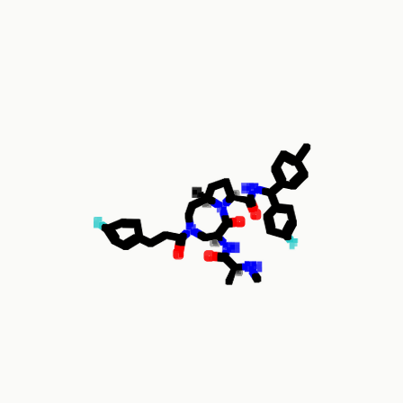 CN[C@@H](C)C(=O)N[C@H]1CN(C(=O)CCc2ccc(F)cc2)CC[C@H]2CC[C@@H](C(=O)NC(c3ccc(C)cc3)c3ccc(F)cc3)N2C1=O